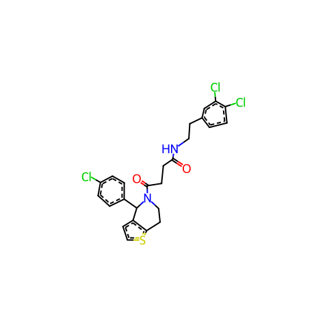 O=C(CCC(=O)N1CCc2sccc2C1c1ccc(Cl)cc1)NCCc1ccc(Cl)c(Cl)c1